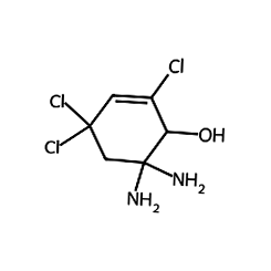 NC1(N)CC(Cl)(Cl)C=C(Cl)C1O